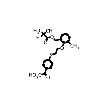 CCC(C)(C)C(=O)OCc1cccc(C)c1OCCSc1ccc(C(=O)C(=O)O)cc1